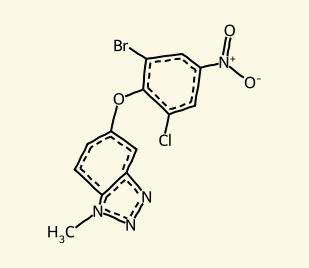 Cn1nnc2cc(Oc3c(Cl)cc([N+](=O)[O-])cc3Br)ccc21